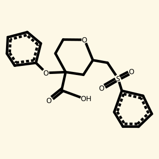 O=C(O)C1(Oc2ccccc2)CCOC(CS(=O)(=O)c2ccccc2)C1